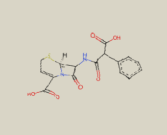 O=C(O)C1=CCS[C@H]2C(NC(=O)C(C(=O)O)c3ccccc3)C(=O)N12